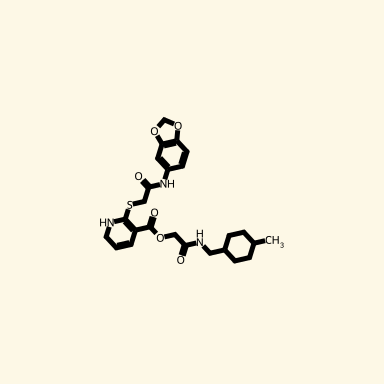 CC1CCC(CNC(=O)COC(=O)C2=C(SCC(=O)Nc3ccc4c(c3)OCO4)NCC=C2)CC1